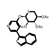 CC(=O)O[C@@H]1[C@@H](OC(C)=O)[C@@H](Oc2cncc(-c3scc4ccccc34)c2)SC[C@H]1OC(C)=O